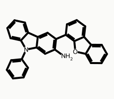 Nc1cc2c(cc1-c1cccc3c1oc1ccccc13)c1ccccc1n2-c1ccccc1